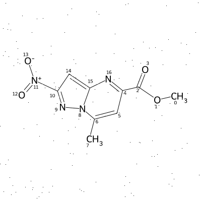 COC(=O)c1cc(C)n2nc([N+](=O)[O-])cc2n1